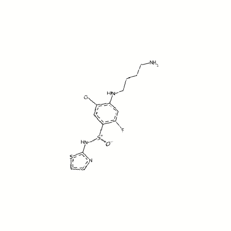 NCCCCNc1cc(F)c([S+]([O-])Nc2nccs2)cc1Cl